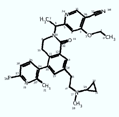 CCOc1cc(C(C)N2CCc3c(cc(CCN(C)C4CC4)cc3-c3ccc(F)nc3C)C2=O)ncc1C#N